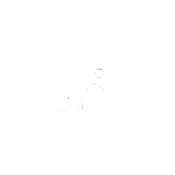 CNC1=C(C(=N)N2CCN(C(=O)[C@H](CN3CCN(C)CC3)c3ccc(Cl)c(F)c3)CC2)[C@H](C)CC1